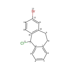 ClC1c2ccccc2CCc2cc(Br)ccc21